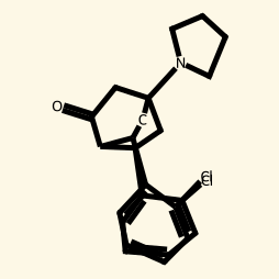 O=C1CC2(N3CCCC3)CC(c3ccccc3Cl)C1C(c1ccccc1Cl)C2